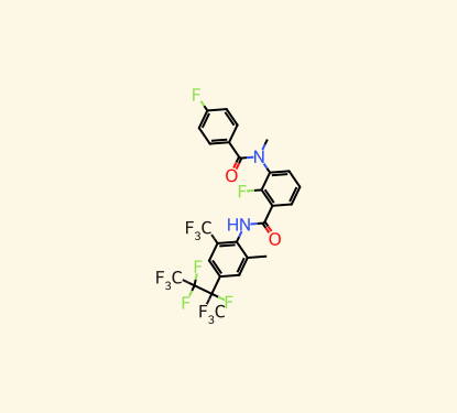 Cc1cc(C(F)(C(F)(F)F)C(F)(F)C(F)(F)F)cc(C(F)(F)F)c1NC(=O)c1cccc(N(C)C(=O)c2ccc(F)cc2)c1F